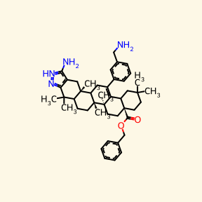 CC1(C)CC[C@]2(C(=O)OCc3ccccc3)CC[C@]3(C)C(=C(c4cccc(CN)c4)CC4[C@@]5(C)Cc6c(n[nH]c6N)C(C)(C)C5CC[C@]43C)C2C1